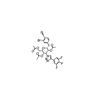 CC(=O)OCC1O[C@H](Sc2ccc(C#N)c(Br)c2)C(OC(C)=O)C(n2cc(-c3cc(F)c(F)c(F)c3)nn2)[C@H]1OC(C)=O